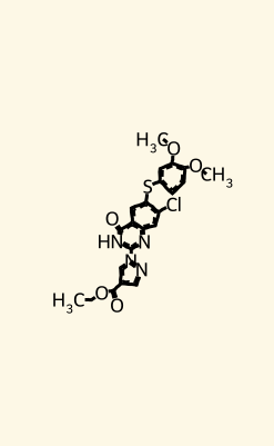 CCOC(=O)c1cnn(-c2nc3cc(Cl)c(Sc4ccc(OC)c(OC)c4)cc3c(=O)[nH]2)c1